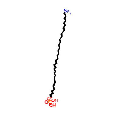 NCCCCCCCCCCCCCCCCCCCCCCCCCCCCCCCCCCOP(=O)(O)O